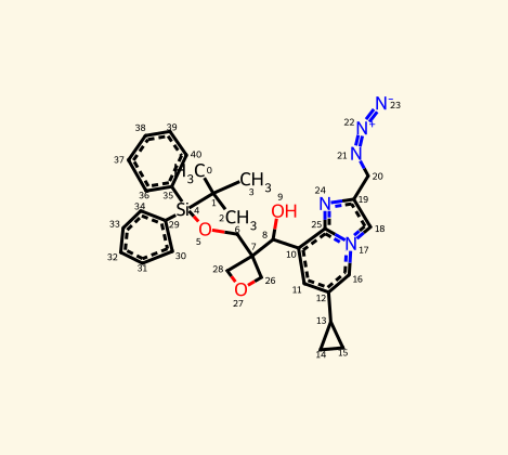 CC(C)(C)[Si](OCC1(C(O)c2cc(C3CC3)cn3cc(CN=[N+]=[N-])nc23)COC1)(c1ccccc1)c1ccccc1